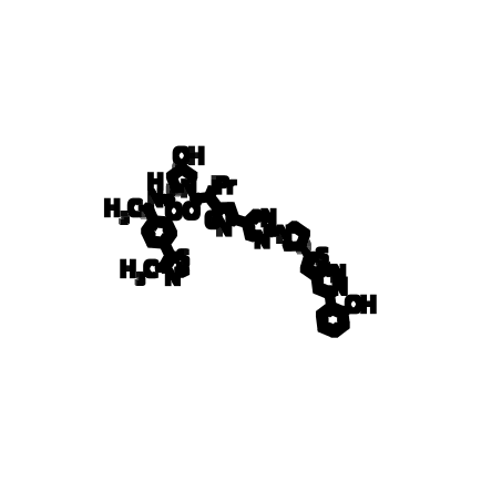 Cc1ncsc1-c1ccc([C@H](C)NC(=O)[C@@H]2C[C@@H](O)CN2C(=O)C(c2cc(-c3cnc(N4CC[C@@H](c5cc6cc(-c7ccccc7O)nnc6s5)C4)nc3)no2)C(C)C)cc1